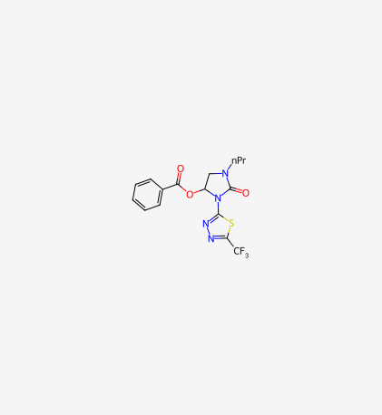 CCCN1CC(OC(=O)c2ccccc2)N(c2nnc(C(F)(F)F)s2)C1=O